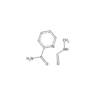 CNC=O.NC(=O)c1ccccn1